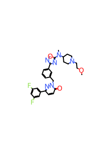 COCCN1CCC(N(C)c2nc(-c3cccc(Cn4nc(-c5cc(F)cc(F)c5)ccc4=O)c3)no2)CC1